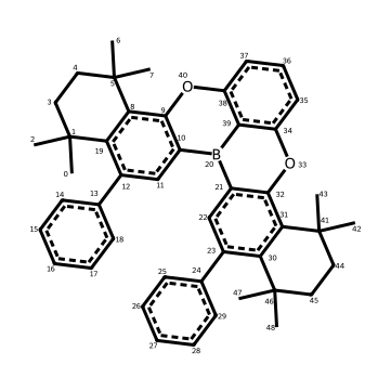 CC1(C)CCC(C)(C)c2c3c(cc(-c4ccccc4)c21)B1c2cc(-c4ccccc4)c4c(c2Oc2cccc(c21)O3)C(C)(C)CCC4(C)C